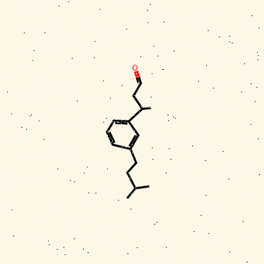 CC(C)CCc1cccc(C(C)CC=O)c1